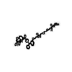 CC(C)(C)OC(=O)NCCOCCOCCC(=O)NCCOc1cccc([C@@H](c2ccccc2)C2CCN(C(=O)N3CCC4OCC(=O)N[C@@H]4C3)CC2)c1